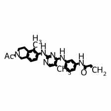 C=CC(=O)Nc1cccc(Nc2nc(Nc3ccc4c(c3C)CCN(C(C)=O)C4)ncc2C)c1